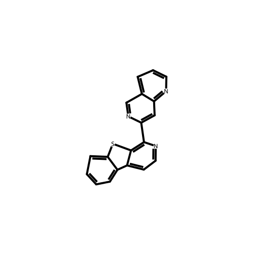 c1cnc2cc(-c3nccc4c3sc3ccccc34)ncc2c1